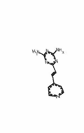 Nc1nc(N)nc(C=Cc2ccncc2)n1